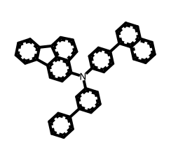 c1ccc(-c2cccc(N(c3ccc(-c4cccc5ccccc45)cc3)c3ccc4c5c(cccc35)-c3ccccc3-4)c2)cc1